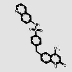 O=c1cc(C(F)(F)F)c2cc(Cc3ccc(S(=O)(=O)Nc4ccc5ncccc5c4)cc3)ccc2[nH]1